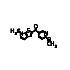 COc1ccc(C(=O)c2cc3ccn(C)c3s2)cn1